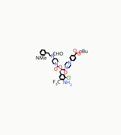 CCCCOC(=O)c1ccc(N2CCN(C(=O)[C@@H](Cc3cc(Cl)c(N)c(C(F)(F)F)c3)OC(=O)N3CCC(N(C=O)CCc4ccccc4NC)CC3)CC2)cc1